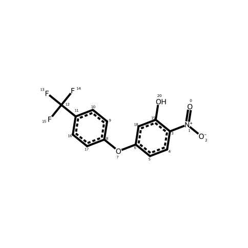 O=[N+]([O-])c1ccc(Oc2ccc(C(F)(F)F)cc2)cc1O